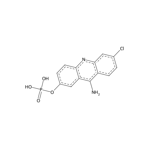 Nc1c2ccc(Cl)cc2nc2ccc(OP(=O)(O)O)cc12